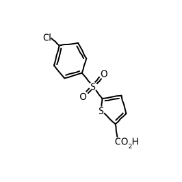 O=C(O)c1ccc(S(=O)(=O)c2ccc(Cl)cc2)s1